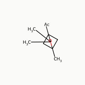 CC(=O)C12CC(C)(C1)OC2(C)C